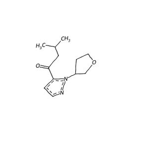 CC(C)CC(=O)c1ccnn1C1CCOC1